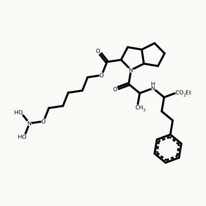 CCOC(=O)C(CCc1ccccc1)NC(C)C(=O)N1C(C(=O)OCCCCCON(O)O)CC2CCCC21